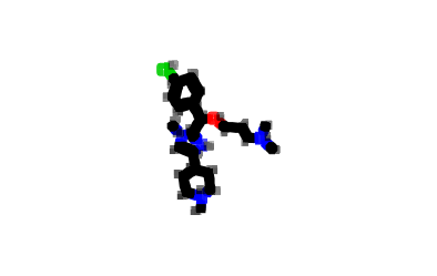 CN(C)CCCOC(c1ccc(Cl)cc1)c1nc(C2CCN(C)CC2)cn1C